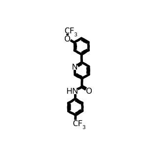 O=C(Nc1ccc(C(F)(F)F)cc1)c1ccc(-c2cccc(OC(F)(F)F)c2)nc1